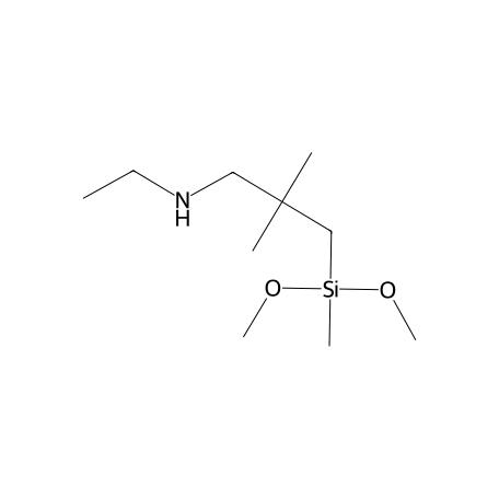 CCNCC(C)(C)C[Si](C)(OC)OC